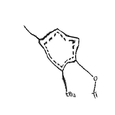 Cc1ccc([O][Ti])c(C(C)(C)C)c1